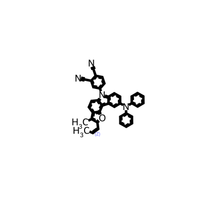 C/C=C\c1oc2c(ccc3c2c2cc(N(c4ccccc4)c4ccccc4)ccc2n3-c2ccc(C#N)c(C#N)c2)c1C